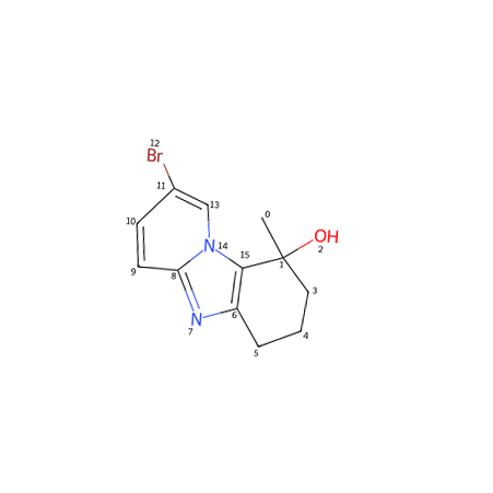 CC1(O)CCCc2nc3ccc(Br)cn3c21